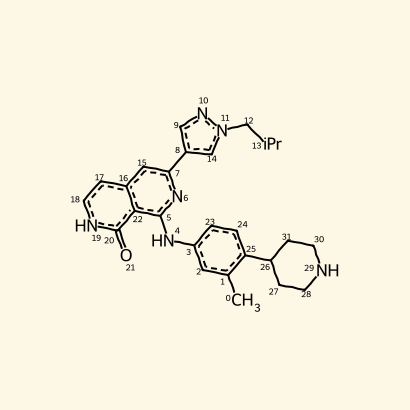 Cc1cc(Nc2nc(-c3cnn(CC(C)C)c3)cc3cc[nH]c(=O)c23)ccc1C1CCNCC1